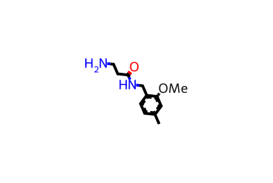 COc1cc(C)ccc1CNC(=O)CCN